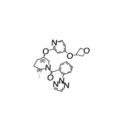 C[C@@H]1CC[C@@H](Oc2cc(OC3COC3)ccn2)CN1C(=O)c1ccccc1-n1nccn1